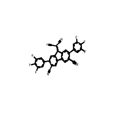 N#CC(C#N)=C1c2cc(-c3cc(F)c(F)c(F)c3)c(C#N)cc2-c2cc(C#N)c(-c3cc(F)c(F)c(F)c3)cc21